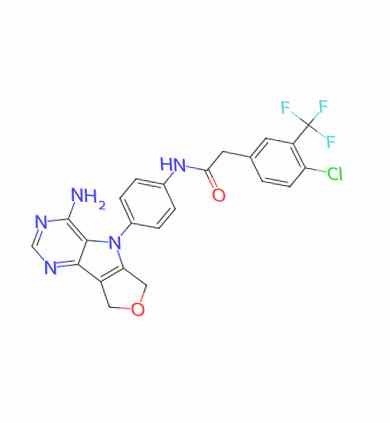 Nc1ncnc2c3c(n(-c4ccc(NC(=O)Cc5ccc(Cl)c(C(F)(F)F)c5)cc4)c12)COC3